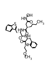 CCCC[C@H](CC(=O)NO)C(=O)N[C@@H](Cc1csc2ccccc12)C(=O)N[C@@H](Cc1ccccc1)C(=O)NCCOC